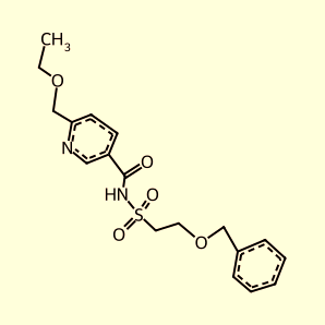 CCOCc1ccc(C(=O)NS(=O)(=O)CCOCc2ccccc2)cn1